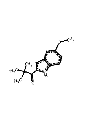 COc1ccc2[nH]c(C(=O)C(C)(C)C)cc2c1